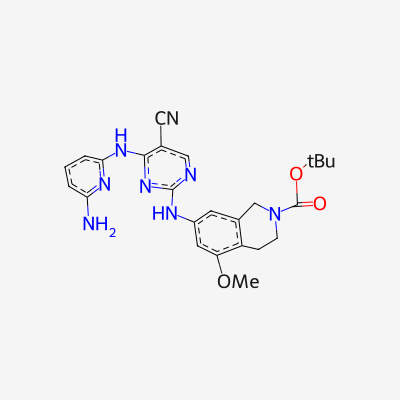 COc1cc(Nc2ncc(C#N)c(Nc3cccc(N)n3)n2)cc2c1CCN(C(=O)OC(C)(C)C)C2